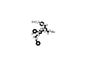 CCOC(=O)N1CCN(C(=O)C(CCC(=O)OC(C)(C)C)NC(=O)c2cc(OCC(=O)OCc3ccccc3)n(-c3cccc(F)c3)n2)CC1